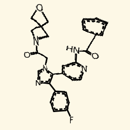 O=C(Nc1cc(-c2c(-c3ccc(F)cc3)ncn2CC(=O)N2CC3(COC3)C2)ccn1)c1ccccc1